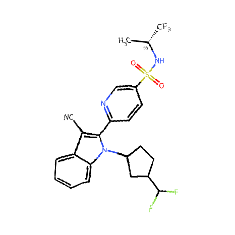 C[C@@H](NS(=O)(=O)c1ccc(-c2c(C#N)c3ccccc3n2C2CCC(C(F)F)C2)nc1)C(F)(F)F